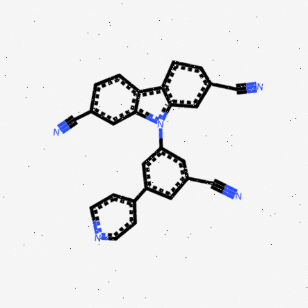 N#Cc1cc(-c2ccncc2)cc(-n2c3cc(C#N)ccc3c3ccc(C#N)cc32)c1